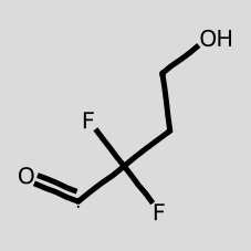 O=[C]C(F)(F)CCO